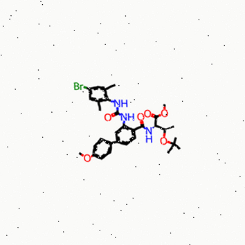 COC(=O)[C@@H](NC(=O)c1ccc(-c2ccc(OC)cc2)cc1NC(=O)Nc1c(C)cc(Br)cc1C)[C@@H](C)OC(C)(C)C